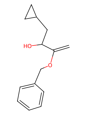 C=C(OCc1ccccc1)C(O)CC1CC1